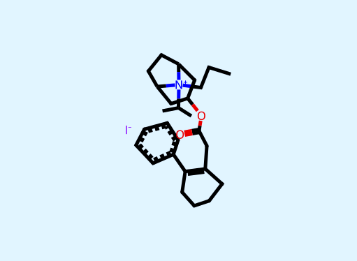 CCC[N+]1(C(C)C)C2CCC1CC(OC(=O)CC1=C(c3ccccc3)CCCC1)C2.[I-]